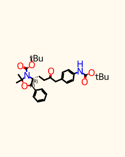 CC(C)(C)OC(=O)Nc1ccc(CC(=O)CC[C@@H]2[C@@H](c3ccccc3)OC(C)(C)N2C(=O)OC(C)(C)C)cc1